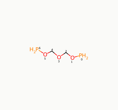 POCOCOP